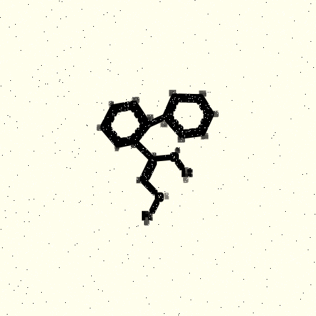 CCOC=C(OCC)c1ccccc1-c1ccccc1